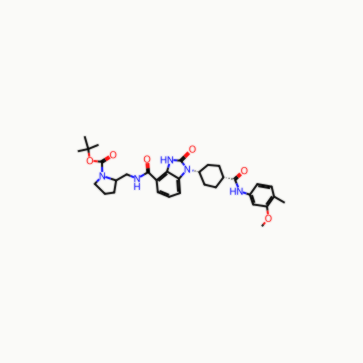 COc1cc(NC(=O)[C@H]2CC[C@@H](n3c(=O)[nH]c4c(C(=O)NCC5CCCN5C(=O)OC(C)(C)C)cccc43)CC2)ccc1C